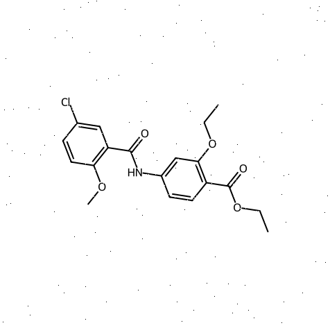 CCOC(=O)c1ccc(NC(=O)c2cc(Cl)ccc2OC)cc1OCC